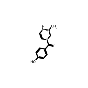 CN1CN(C(=O)c2ccc(O)cc2)C=CN1